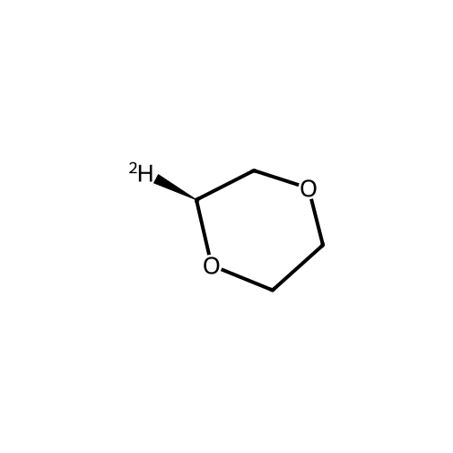 [2H][C@H]1COCCO1